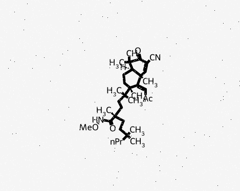 CCCC(C)(C)CC[C@@](C)(CCC(C)(C)[C@]1(C)CC[C@H]2C(C)(C)C(=O)C(C#N)=C[C@]2(C)/C1=C/C(C)=O)C(=O)NOC